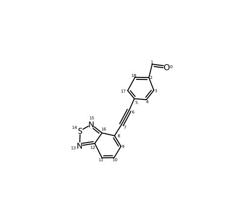 O=Cc1ccc(C#Cc2cccc3nsnc23)cc1